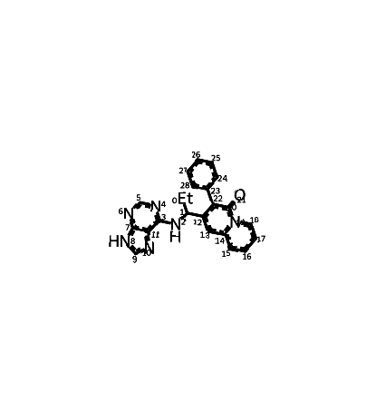 CCC(Nc1ncnc2[nH]cnc12)c1cc2ccccn2c(=O)c1-c1ccccc1